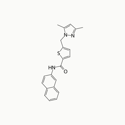 Cc1cc(C)n(Cc2ccc(C(=O)Nc3ccc4ccccc4c3)s2)n1